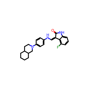 O=C1Nc2cccc(F)c2C1=CNc1ccc(N2CCC3CCCCC3C2)cc1